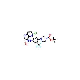 CC(C)(C)OC(=O)N1CCN(c2ccc(Nc3c(C=O)cnc4ccc(Cl)nc34)cc2C(F)(F)F)CC1